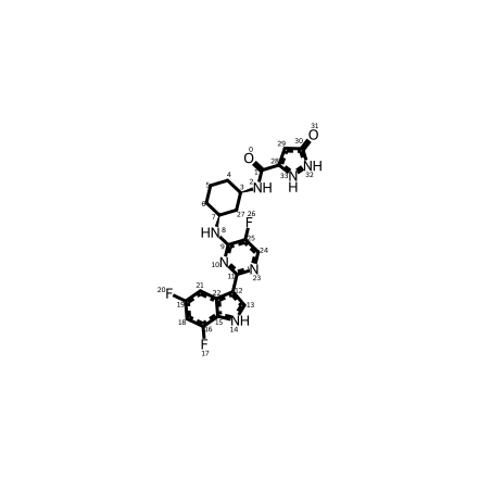 O=C(N[C@@H]1CCC[C@H](Nc2nc(-c3c[nH]c4c(F)cc(F)cc34)ncc2F)C1)c1cc(=O)[nH][nH]1